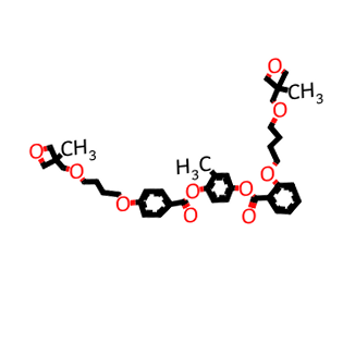 Cc1cc(OC(=O)c2ccccc2OCCCCOCC2(C)COC2)ccc1OC(=O)c1ccc(OCCCCOCC2(C)COC2)cc1